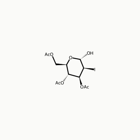 CC(=O)OC[C@H]1O[C@H](O)[C@@H](I)[C@@H](OC(C)=O)[C@@H]1OC(C)=O